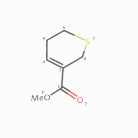 COC(=O)C1=CCCSC1